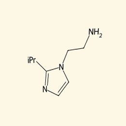 CC(C)c1nccn1CCN